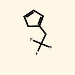 FC(F)(F)CC1=CC=CC1